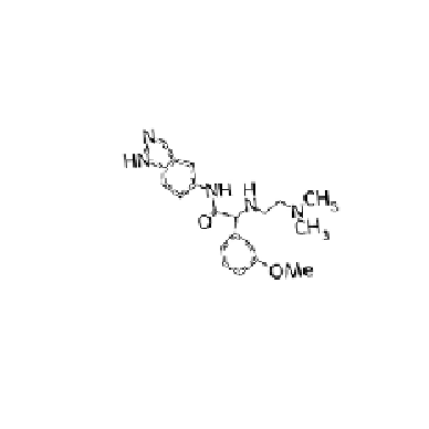 COc1cccc(C(NCCN(C)C)C(=O)Nc2ccc3[nH]ncc3c2)c1